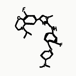 CC(C)N1CCOc2c(F)cc(-c3cn(C)c(Nc4ccc(N5CCC(N(C)C)CC5)c(F)c4)n3)cc21